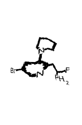 FC(P)Cc1ncc(Br)cc1N1CCCCC1